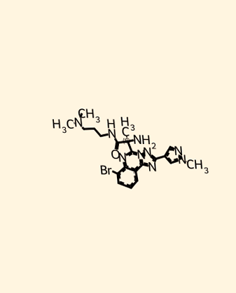 CN(C)CCCNC(=O)[C@@](C)(N)c1nc2c(Br)cccc2c2nc(-c3cnn(C)c3)nn12